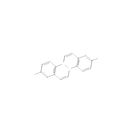 Cc1ccc2c(c1)C=CN1B2C=Cc2cc(C)ccc21